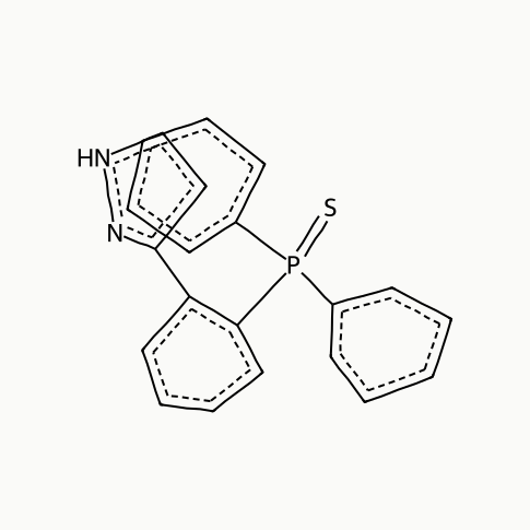 S=P(c1ccccc1)(c1ccccc1)c1ccccc1-c1cc[nH]n1